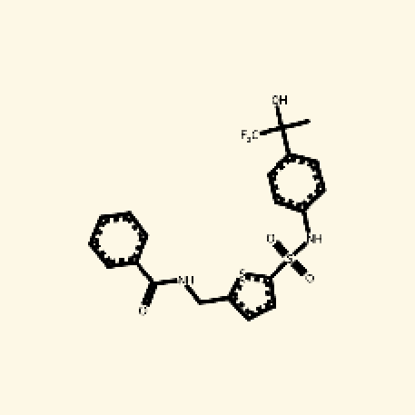 CC(O)(c1ccc(NS(=O)(=O)c2ccc(CNC(=O)c3ccccc3)s2)cc1)C(F)(F)F